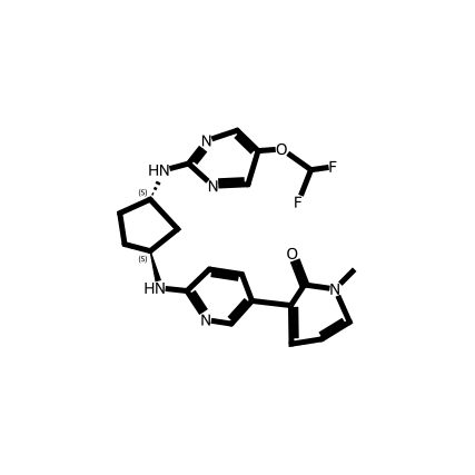 Cn1cccc(-c2ccc(N[C@H]3CC[C@H](Nc4ncc(OC(F)F)cn4)C3)nc2)c1=O